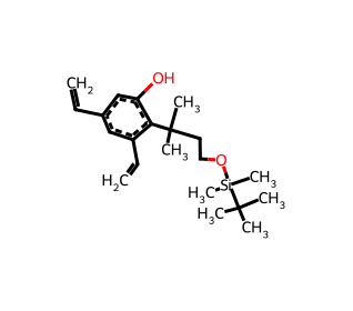 C=Cc1cc(O)c(C(C)(C)CCO[Si](C)(C)C(C)(C)C)c(C=C)c1